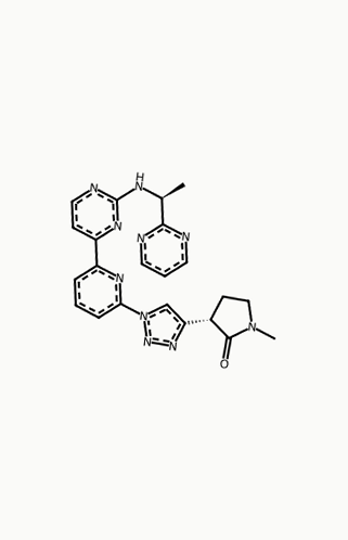 C[C@H](Nc1nccc(-c2cccc(-n3cc([C@@H]4CCN(C)C4=O)nn3)n2)n1)c1ncccn1